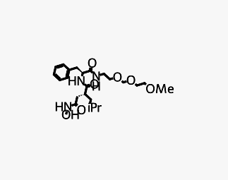 COCCOCOCCNC(=O)[C@H](Cc1ccccc1)NC(=O)[C@@H](CC(=O)NO)CC(C)C